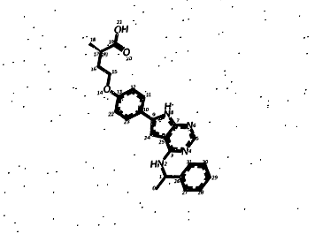 CC(Nc1ncnc2[nH]c(-c3ccc(OCC[C@@H](C)C(=O)O)cc3)cc12)c1ccccc1